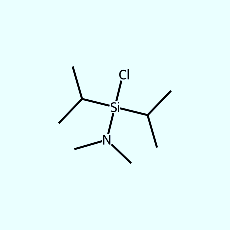 CC(C)[Si](Cl)(C(C)C)N(C)C